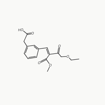 CCOCC(=O)C(=Cc1cccc(CC(=O)O)c1)C(=O)OC